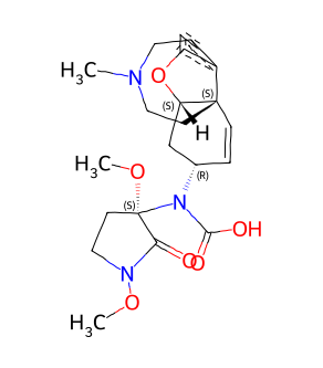 CON1CC[C@@](OC)(N(C(=O)O)[C@H]2C=C[C@@]34CCN(C)Cc5cccc(c53)O[C@H]4C2)C1=O